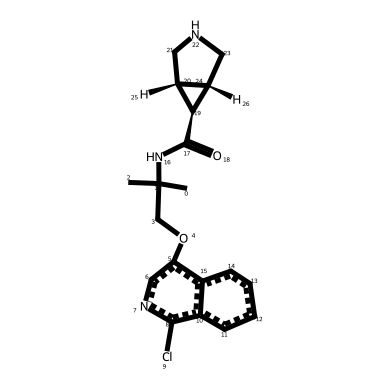 CC(C)(COc1cnc(Cl)c2ccccc12)NC(=O)[C@H]1[C@@H]2CNC[C@@H]21